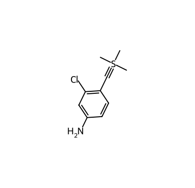 CS(C)(C)#Cc1ccc(N)cc1Cl